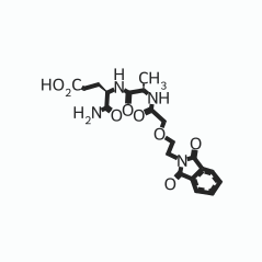 C[C@H](NC(=O)COCCN1C(=O)c2ccccc2C1=O)C(=O)N[C@H](CCC(=O)O)C(N)=O